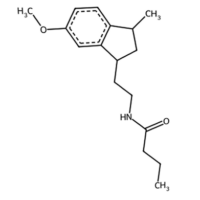 CCCC(=O)NCCC1CC(C)c2ccc(OC)cc21